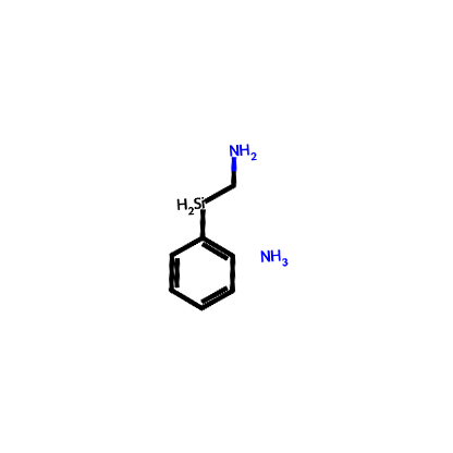 N.NC[SiH2]c1ccccc1